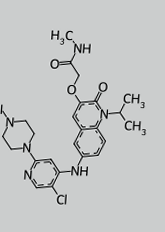 CNC(=O)COc1cc2cc(Nc3cc(N4CCN(I)CC4)ncc3Cl)ccc2n(C(C)C)c1=O